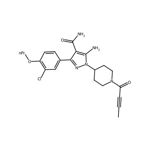 CC#CC(=O)N1CCC(n2nc(-c3ccc(OCCC)c(Cl)c3)c(C(N)=O)c2N)CC1